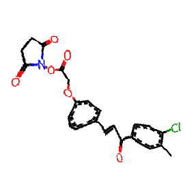 Cc1cc(C(=O)/C=C/c2ccc(OCC(=O)ON3C(=O)CCC3=O)cc2)ccc1Cl